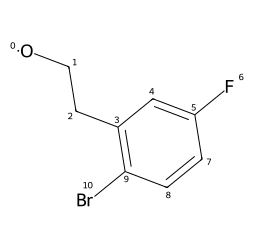 [O]CCc1cc(F)ccc1Br